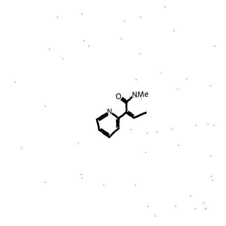 CC=C(C(=O)NC)c1ccccn1